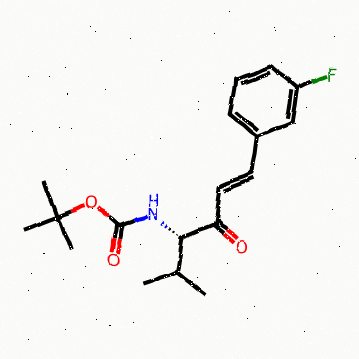 CC(C)[C@H](NC(=O)OC(C)(C)C)C(=O)C=Cc1cccc(F)c1